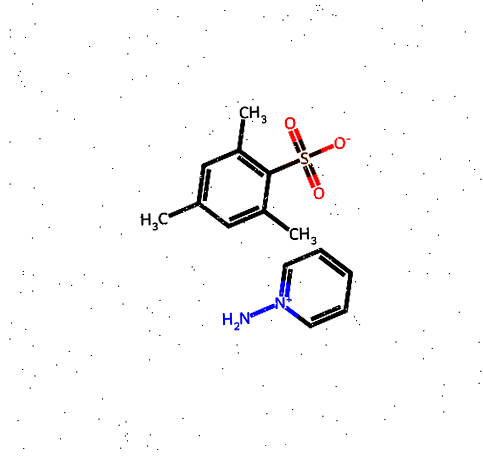 Cc1cc(C)c(S(=O)(=O)[O-])c(C)c1.N[n+]1ccccc1